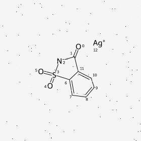 O=C1[N-]S(=O)(=O)c2ccccc21.[Ag+]